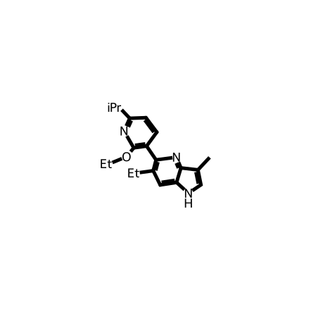 CCOc1nc(C(C)C)ccc1-c1nc2c(C)c[nH]c2cc1CC